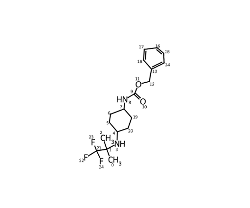 CC(C)(NC1CCC(NC(=O)OCc2ccccc2)CC1)C(F)(F)F